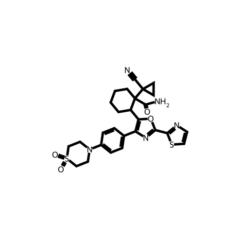 N#CC1(C2(C(N)=O)CCCCC2c2oc(-c3nccs3)nc2-c2ccc(N3CCS(=O)(=O)CC3)cc2)CC1